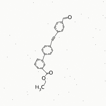 CCOC(=O)c1cccc(-c2ccc(C#Cc3ccc(C=O)cc3)cc2)c1